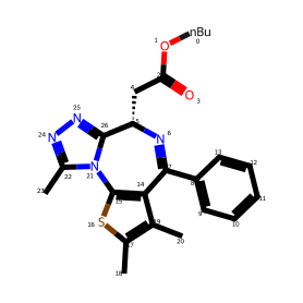 CCCCOC(=O)C[C@@H]1N=C(c2ccccc2)c2c(sc(C)c2C)-n2c(C)nnc21